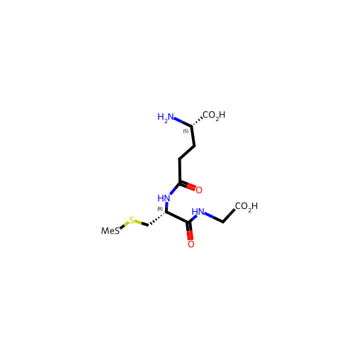 CSSC[C@H](NC(=O)CC[C@H](N)C(=O)O)C(=O)NCC(=O)O